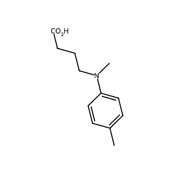 Cc1ccc(N(C)CCCC(=O)O)cc1